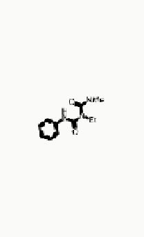 CCN(C(=O)NC)C(=O)Nc1ccccc1